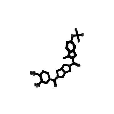 Cn1c(C(=O)N2CC3CN(C(=O)[C@@H]4CCC(N)=C(N)C4)CC3C2)cc2cc(OC(F)(F)F)ccc21